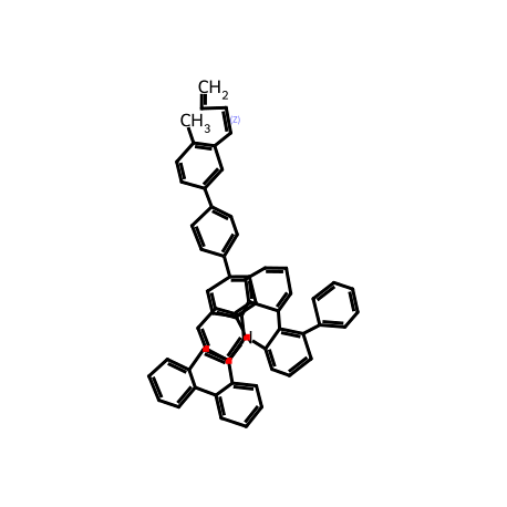 C=C/C=C\c1cc(-c2ccc(-c3ccc(N(c4cccc(-c5ccccc5)c4-c4ccccc4-c4ccccc4)c4cc5ccccc5c5ccccc45)cc3)cc2)ccc1C